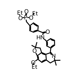 CCOc1cc2c(c3c1OC(C)(C)C3)C(c1cccc(NC(=O)c3ccc(CP(=O)(OCC)OCC)cc3)c1)=NC(C)(C)C2